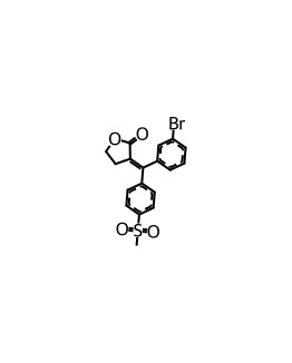 CS(=O)(=O)c1ccc(C(=C2CCOC2=O)c2cccc(Br)c2)cc1